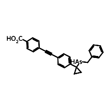 O=C(O)c1ccc(C#Cc2ccc(C3([AsH]Cc4ccccc4)CC3)cc2)cc1